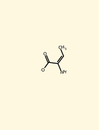 C/C=C(/CCC)C([O])=O